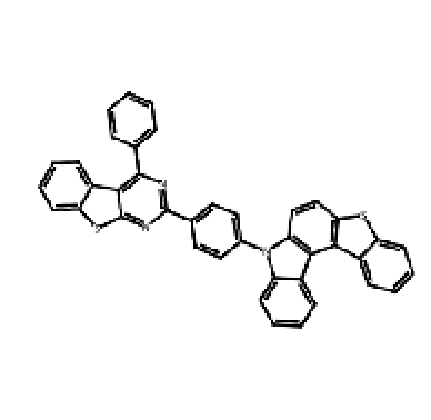 c1ccc(-c2nc(-c3ccc(-n4c5ccccc5c5c6c(ccc54)sc4ccccc46)cc3)nc3sc4ccccc4c23)cc1